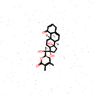 CC1=C(C)C(=O)O[C@@H]([C@](C)(O)[C@@]2(O)CC[C@@]3(O)[C@@H]4CC=C5CC=CC(=O)[C@]5(C)[C@H]4CC[C@]23C)C1